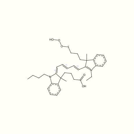 CCCCN1/C(=C/C=C/C=C/C2=[N+](CC)c3ccccc3C2(C)CCCSOOO)C(C)(CCCC(=O)O)c2ccccc21